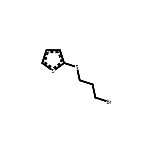 BrCCCSc1cccs1